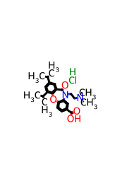 CC(C)c1cc2c(c(C(C)C)c1)Oc1ccc(C(=O)O)cc1N(CCN(C)C)C2=O.Cl